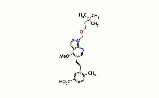 COc1c(C=Cc2cc(C(=O)O)ccc2C)cnc2c1ccn2COCC[Si](C)(C)C